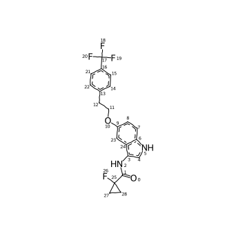 O=C(Nc1c[nH]c2ccc(OCCc3ccc(C(F)(F)F)cc3)cc12)C1(F)CC1